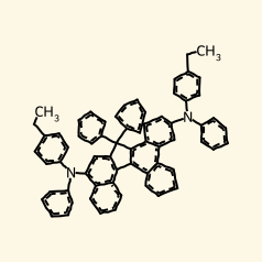 CCc1ccc(N(c2ccccc2)c2ccc3c4c(c5ccccc5c3c2)-c2c(cc(N(c3ccccc3)c3ccc(CC)cc3)c3ccccc23)C4(c2ccccc2)c2ccccc2)cc1